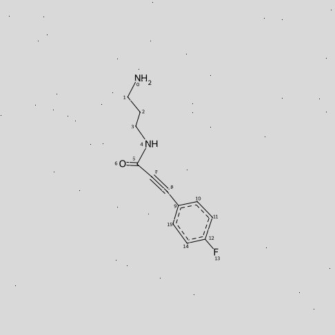 NCCCNC(=O)C#Cc1ccc(F)cc1